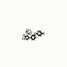 COC(=O)[C@H]1C(=O)NC[C@@H]1c1cccc(Oc2ccc(F)cn2)c1